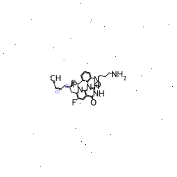 C#C/C=C\C=C(\F)Cc1nc2c(cc1F)c(=O)[nH]c(=O)n2-c1c(NCCCN)cccc1C(C)C